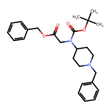 CC(C)(C)OC(=O)N(CC(=O)OCc1ccccc1)C1CCN(Cc2ccccc2)CC1